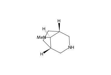 CN[C@H]1[C@@H]2CC[C@H]1CNC2